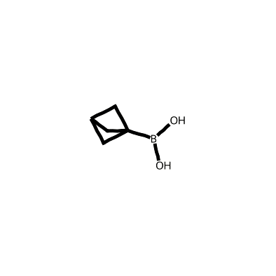 OB(O)C12CC(C1)C2